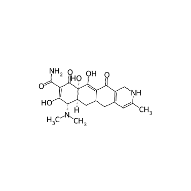 CC1=CC2=C(CN1)C(=O)C1=C(O)[C@]3(O)C(=O)C(C(N)=O)=C(O)[C@@H](N(C)C)[C@@H]3CC1C2